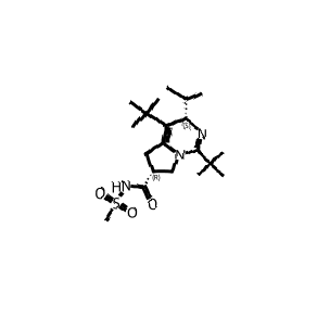 CC(C)[C@@H]1N=C(C(C)(C)C)N2C[C@H](C(=O)NS(C)(=O)=O)CC2=C1C(C)(C)C